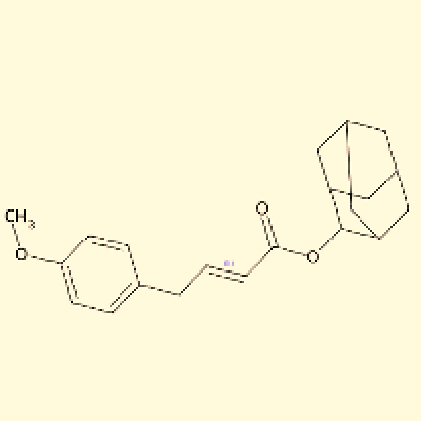 COc1ccc(C/C=C/C(=O)OC2C3CC4CC(C3)CC2C4)cc1